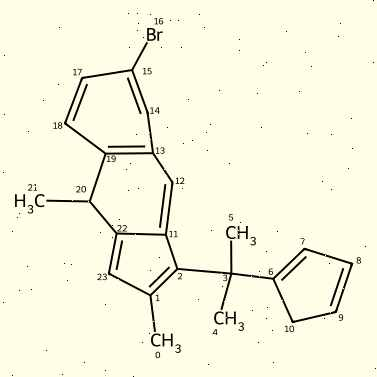 CC1=C(C(C)(C)C2=CC=CC2)C2=Cc3cc(Br)ccc3C(C)C2=C1